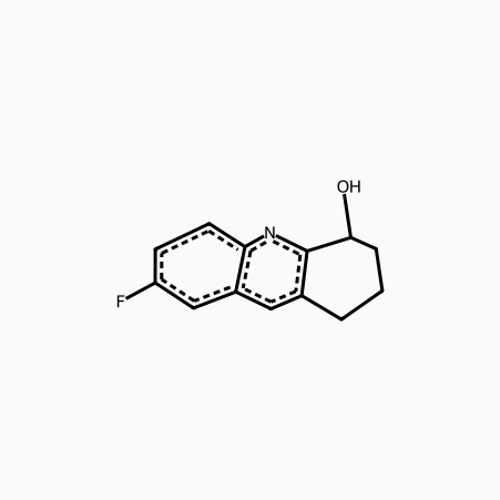 OC1CCCc2cc3cc(F)ccc3nc21